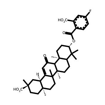 CC1(C)C2CC[C@]3(C)C(C(=O)C=C4[C@@H]5C[C@](C)(C(=O)O)CC[C@]5(C)CCC43C)[C@@]2(C)CC[C@@H]1OC(=O)c1ccc(F)cc1C(=O)O